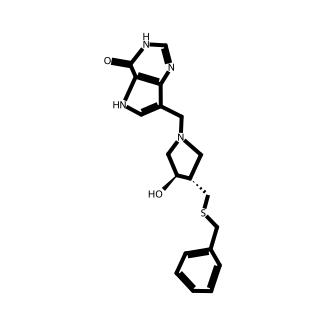 O=c1[nH]cnc2c(CN3C[C@H](CSCc4ccccc4)[C@@H](O)C3)c[nH]c12